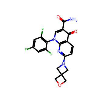 NC(=O)c1cn(-c2c(F)cc(F)cc2F)c2nc(N3CC4(COC4)C3)ccc2c1=O